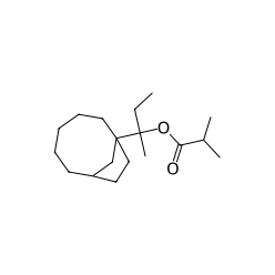 CCC(C)(OC(=O)C(C)C)C12CCCCCC(CC1)C2